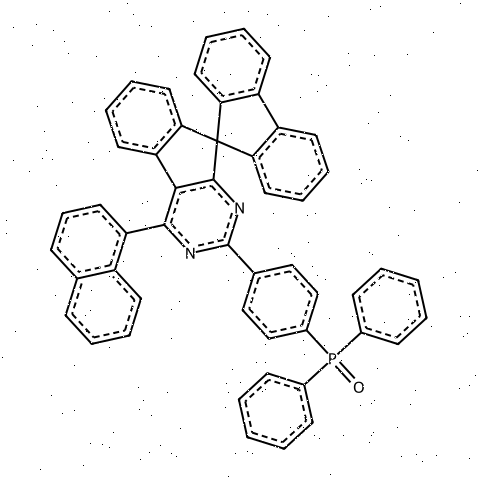 O=P(c1ccccc1)(c1ccccc1)c1ccc(-c2nc(-c3cccc4ccccc34)c3c(n2)C2(c4ccccc4-c4ccccc42)c2ccccc2-3)cc1